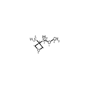 CO[SiH2]C1(C)COC1